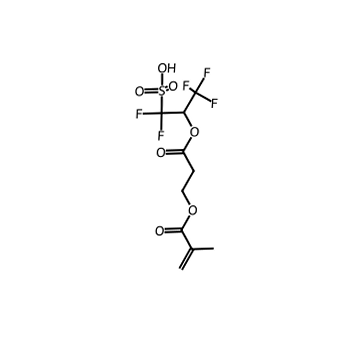 C=C(C)C(=O)OCCC(=O)OC(C(F)(F)F)C(F)(F)S(=O)(=O)O